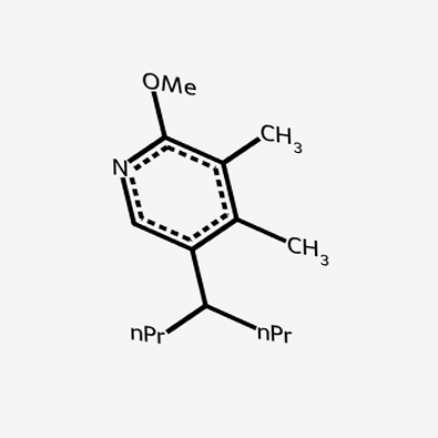 CCCC(CCC)c1cnc(OC)c(C)c1C